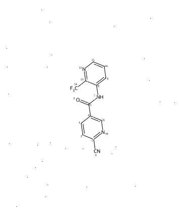 N#Cc1ccc(C(=O)Nc2cccnc2C(F)(F)F)cn1